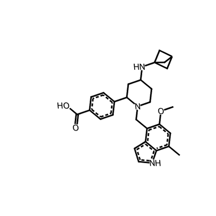 COc1cc(C)c2[nH]ccc2c1CN1CCC(NC23CC(C2)C3)CC1c1ccc(C(=O)O)cc1